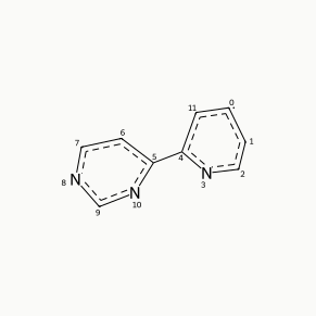 [c]1ccnc(-c2ccncn2)c1